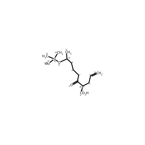 C=CC[C@@H](C(=O)O)C(=O)CCCC(C)O[Si](C)(C)C(C)(C)C